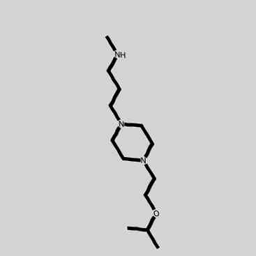 CNCCCN1CCN(CCOC(C)C)CC1